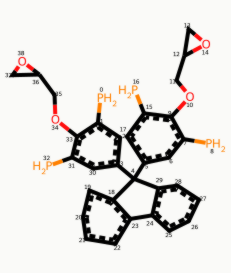 Pc1cc(C2(c3cc(P)c(OCC4CO4)c(P)c3)c3ccccc3-c3ccccc32)cc(P)c1OCC1CO1